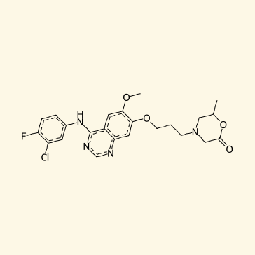 COc1cc2c(Nc3ccc(F)c(Cl)c3)ncnc2cc1OCCCN1CC(=O)OC(C)C1